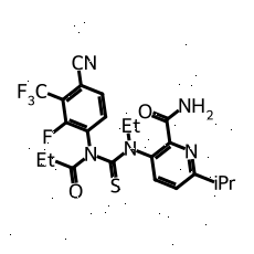 CCC(=O)N(C(=S)N(CC)c1ccc(C(C)C)nc1C(N)=O)c1ccc(C#N)c(C(F)(F)F)c1F